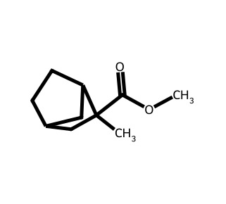 COC(=O)C1(C)CC2CCC1C2